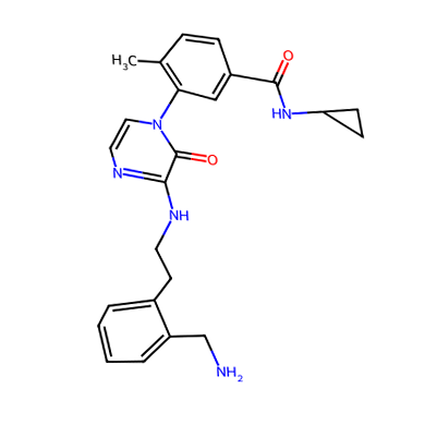 Cc1ccc(C(=O)NC2CC2)cc1-n1ccnc(NCCc2ccccc2CN)c1=O